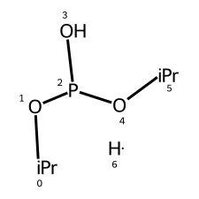 CC(C)OP(O)OC(C)C.[H]